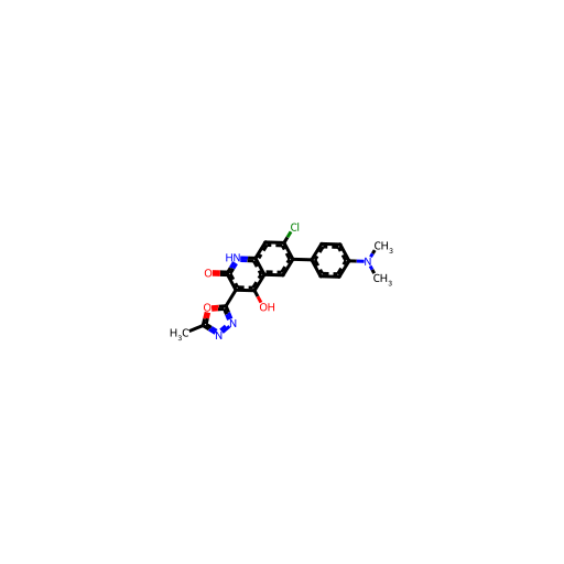 Cc1nnc(-c2c(O)c3cc(-c4ccc(N(C)C)cc4)c(Cl)cc3[nH]c2=O)o1